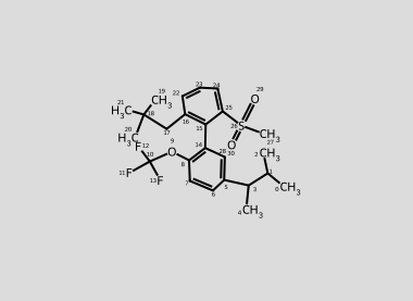 CC(C)C(C)c1ccc(OC(F)(F)F)c(-c2c(CC(C)(C)C)cccc2S(C)(=O)=O)c1